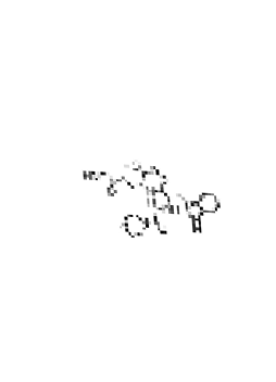 N=CC(=O)CC[C@H](NC(=O)[C@H](Cc1c[nH]c2ccccc12)NCC(=O)N1CCOCC1)C(=O)O